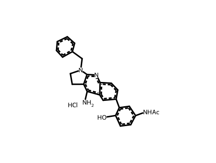 CC(=O)Nc1ccc(O)c(-c2ccc3nc4c(c(N)c3c2)CCN4Cc2ccccc2)c1.Cl